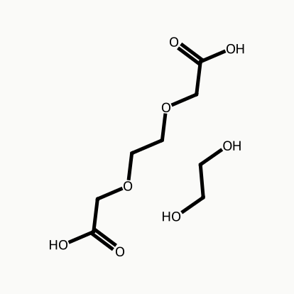 O=C(O)COCCOCC(=O)O.OCCO